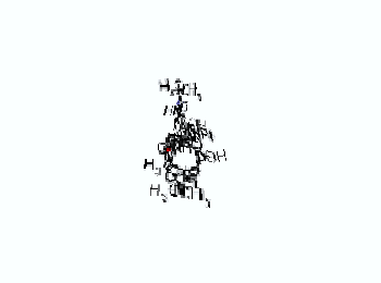 CCn1c(-c2ccccc2CN(C)C)c2c3cc(ccc31)-c1cc(O)cc(c1)C[C@H](NC(=O)[C@H](C(C)C)N(C)C(=O)c1ccc(NC(=O)/C=C/CN(C)C)cn1)C(=O)N1CCC[C@H](N1)C(=O)OCC(C)(C)C2